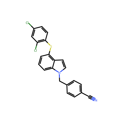 N#Cc1ccc(Cn2ccc3c(Sc4ccc(Cl)cc4Cl)cccc32)cc1